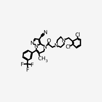 CC1=C(c2cccc(C(F)(F)F)c2)n2ncc(C#N)c2N(C(=O)CN2CCN(Cc3c(Cl)cccc3Cl)CC2)C1